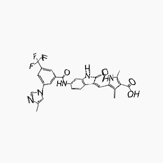 Cc1cn(-c2cc(C(=O)Nc3ccc4c(c3)NC(=O)C4=Cc3[nH]c(C)c(C(=O)O)c3C)cc(C(F)(F)F)c2)cn1